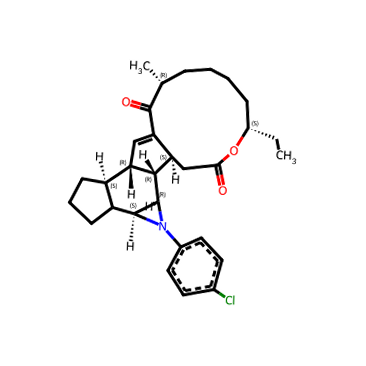 CC[C@H]1CCCC[C@@H](C)C(=O)C2=C[C@@H]3[C@@H]([C@@H]4[C@H](C5CCC[C@H]53)N4c3ccc(Cl)cc3)[C@@H]2CC(=O)O1